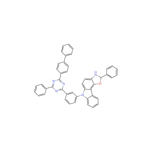 c1ccc(-c2ccc(-c3nc(-c4ccccc4)nc(-c4cccc(-n5c6ccccc6c6c7c(ccc65)NC(c5ccccc5)O7)c4)n3)cc2)cc1